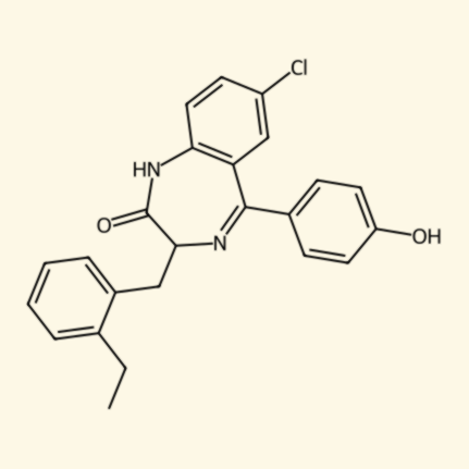 CCc1ccccc1CC1N=C(c2ccc(O)cc2)c2cc(Cl)ccc2NC1=O